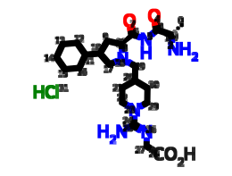 C[C@H](N)C(=O)NC(=O)[C@@H]1CC(C2CCCCC2)CN1CC1CCN(C(N)=NCC(=O)O)CC1.Cl